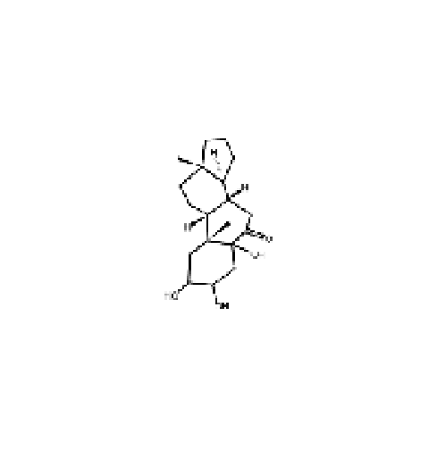 C[C@@]12CCC[C@H]1[C@@H]1CC(=O)C3(O)CC(O)C(O)C[C@]3(C)[C@@H]1CC2